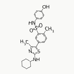 Cc1ccc(-c2sc(NC3CCCCC3)nc2C)cc1S(=O)(=O)Nc1ccc(O)cc1